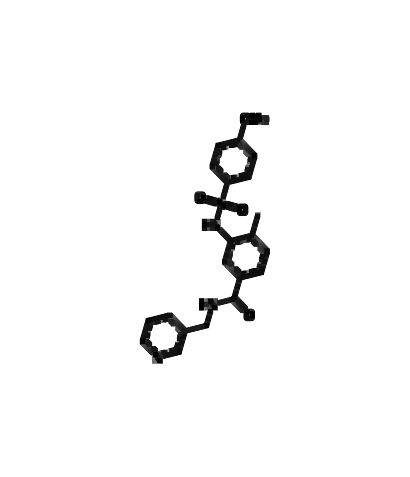 COc1ccc(S(=O)(=O)Nc2cc(C(=O)NCc3cccnc3)ccc2C)cc1